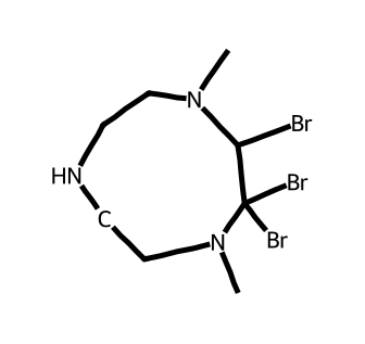 CN1CCNCCN(C)C(Br)(Br)C1Br